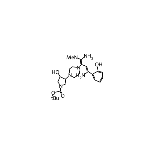 CN/C(N)=C(/C=C(\N)c1ccccc1O)N1CCN(C2CN(C(=O)OC(C)(C)C)CC2O)CC1